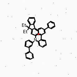 CCC1(CC)c2ccccc2-c2ccc(N(c3cccc(-c4ccccc4)c3)c3ccccc3-c3cccc(-c4ccccc4)c3)cc21